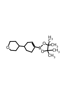 CC1(C)OB(C2=CCC(C3CCOCC3)CC2)OC1(C)C